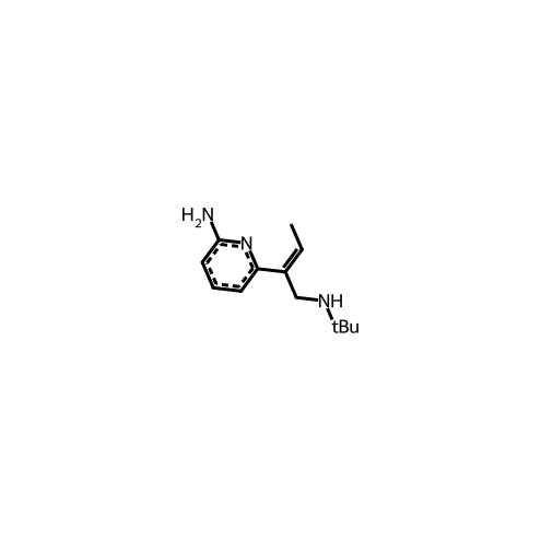 C/C=C(/CNC(C)(C)C)c1cccc(N)n1